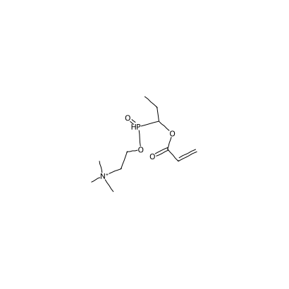 C=CC(=O)OC(CC)[PH](=O)OCC[N+](C)(C)C